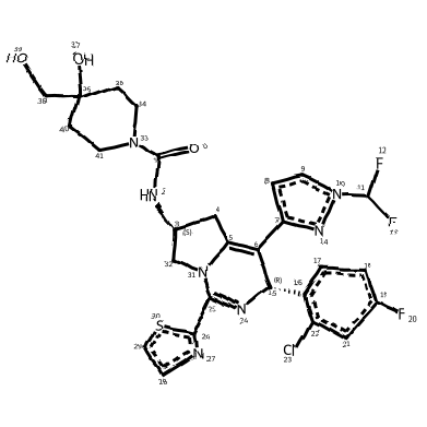 O=C(N[C@H]1CC2=C(c3ccn(C(F)F)n3)[C@H](c3ccc(F)cc3Cl)N=C(c3nccs3)N2C1)N1CCC(O)(CO)CC1